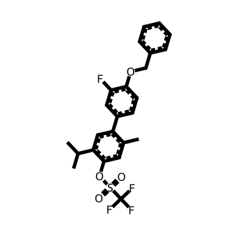 Cc1cc(OS(=O)(=O)C(F)(F)F)c(C(C)C)cc1-c1ccc(OCc2ccccc2)c(F)c1